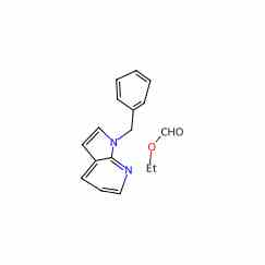 CCOC=O.c1ccc(Cn2ccc3cccnc32)cc1